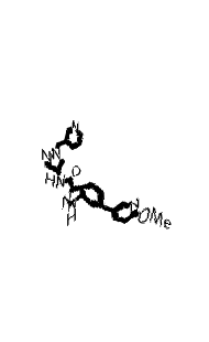 COc1ccc(-c2ccc3c(C(=O)Nc4cnn(Cc5cccnc5)c4)n[nH]c3c2)cn1